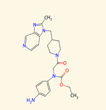 CCOC(=O)N(CC(=O)N1CCC(Cn2c(C)nc3cnccc32)CC1)c1ccc(N)cc1